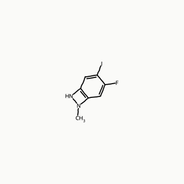 Cn1[nH]c2cc(I)c(F)cc21